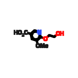 COc1cc(C(=O)O)cnc1OCCO